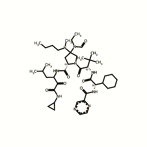 CCCCN(C)C1(N(C=O)CC)C[C@@H](C(=O)NC(CC(C)C)C(=O)C(=O)NC2CC2)N(C(=O)[C@@H](NC(=O)[C@@H](NC(=O)c2cnccn2)C2CCCCC2)C(C)(C)C)C1